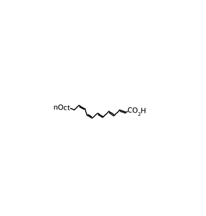 CCCCCCCCC\C=C/C=C\C=C\C=C\C=C\C(=O)O